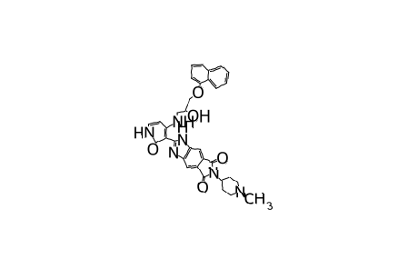 CN1CCC(N2C(=O)c3cc4nc(-c5c(NCC(O)COc6cccc7ccccc67)cc[nH]c5=O)[nH]c4cc3C2=O)CC1